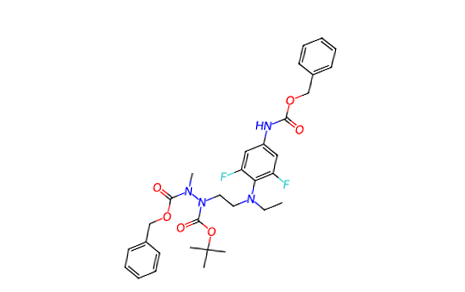 CCN(CCN(C(=O)OC(C)(C)C)N(C)C(=O)OCc1ccccc1)c1c(F)cc(NC(=O)OCc2ccccc2)cc1F